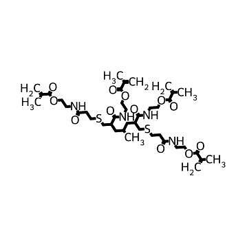 C=C(C)C(=O)OCCNC(=O)CCSCC(CC(C)CC(CSCCC(=O)NCCOC(=O)C(=C)C)C(=O)NCCOC(=O)C(=C)C)C(=O)NCCOC(=O)C(=C)C